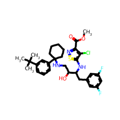 COC(=O)c1nsc(NC(Cc2cc(F)cc(F)c2)C(O)CNC2(c3cccc(C(C)(C)C)c3)CCCCC2)c1Cl